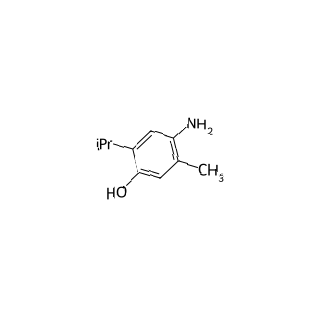 Cc1cc(O)c(C(C)C)cc1N